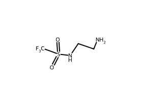 NCCNS(=O)(=O)C(F)(F)F